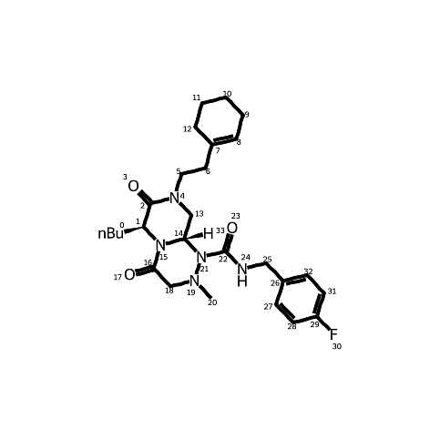 CCCC[C@H]1C(=O)N(CCC2=CCCCC2)C[C@H]2N1C(=O)CN(C)N2C(=O)NCc1ccc(F)cc1